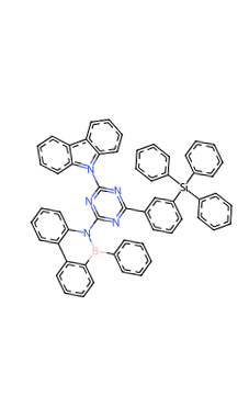 c1ccc(B2c3ccccc3-c3ccccc3N2c2nc(-c3cccc([Si](c4ccccc4)(c4ccccc4)c4ccccc4)c3)nc(-n3c4ccccc4c4ccccc43)n2)cc1